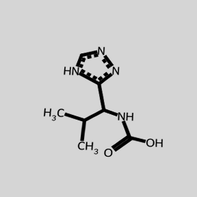 CC(C)C(NC(=O)O)c1nnc[nH]1